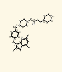 Cc1cc(C)c2nc(C)n(Cc3ccc(N[C@H]4CC[C@H](CNCCN5CCOCC5)CC4)cc3)c2n1